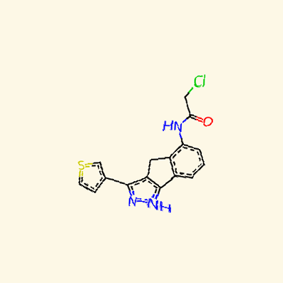 O=C(CCl)Nc1cccc2c1Cc1c(-c3ccsc3)n[nH]c1-2